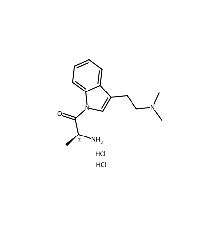 C[C@H](N)C(=O)n1cc(CCN(C)C)c2ccccc21.Cl.Cl